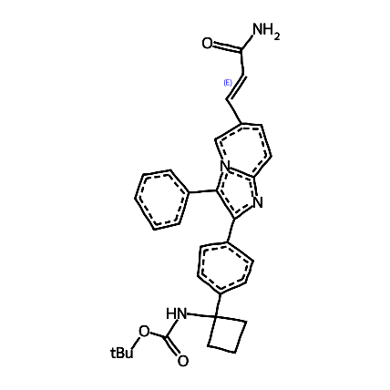 CC(C)(C)OC(=O)NC1(c2ccc(-c3nc4ccc(/C=C/C(N)=O)cn4c3-c3ccccc3)cc2)CCC1